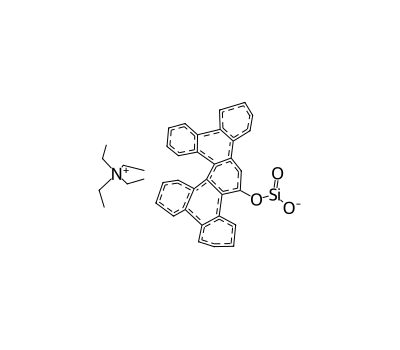 CC[N+](CC)(CC)CC.O=[Si]([O-])Oc1cc2c3ccccc3c3ccccc3c2c2c3ccccc3c3ccccc3c12